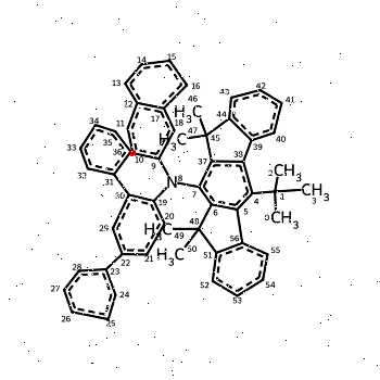 CC(C)(C)c1c2c(c(N(c3ccc4ccccc4c3)c3ccc(-c4ccccc4)cc3-c3ccccc3)c3c1-c1ccccc1C3(C)C)C(C)(C)c1ccccc1-2